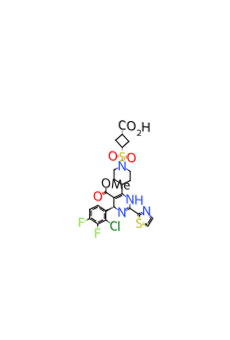 COC(=O)C1=C(C2CCN(S(=O)(=O)[C@H]3C[C@@H](C(=O)O)C3)CC2)NC(c2nccs2)=N[C@H]1c1ccc(F)c(F)c1Cl